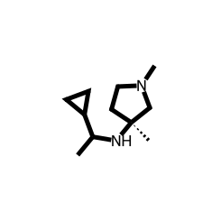 CC(N[C@@]1(C)CCN(C)C1)C1CC1